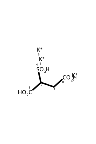 O=C(O)CC(C(=O)O)S(=O)(=O)O.[K+].[K+].[K+]